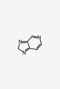 [c]1nccc2c1=NCN=2